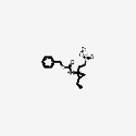 C=CC1CC1(CC[PH](=O)OCC)NC(=O)OCc1ccccc1